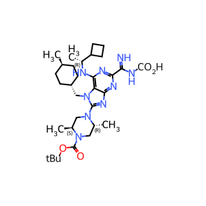 C[C@@H]1CN(C(=O)OC(C)(C)C)[C@@H](C)CN1c1nc2nc(C(=N)NC(=O)O)nc(N[C@H](C)C3CCC3)c2n1C[C@H]1CC[C@H](C)CC1